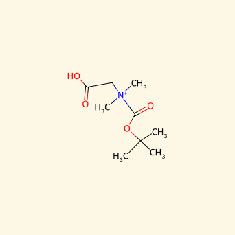 CC(C)(C)OC(=O)[N+](C)(C)CC(=O)O